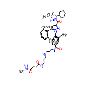 CCNC(=O)CCC(=O)N(C)CCCN(C)CCCN(C)C(=O)c1ccc(-n2nc(C(=O)N[C@H](C(=O)O)C3CCCCC3)cc2-c2c(OC)cccc2OC)c(C(C)C)c1